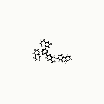 CC1(C)c2ccccc2-c2ccc(-c3ccc4ccc(-c5nc(-c6cccc7ccccc67)nc(-c6cccc7ccccc67)n5)cc4c3)cc21